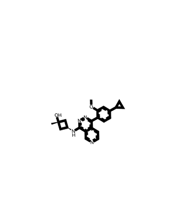 COc1cc(C2CC2)ccc1-c1nnc(N[C@H]2C[C@@](C)(O)C2)c2cnccc12